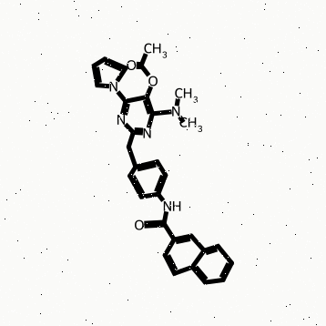 CC(=O)Oc1c(N(C)C)nc(Cc2ccc(NC(=O)c3ccc4ccccc4c3)cc2)nc1-n1cccc1